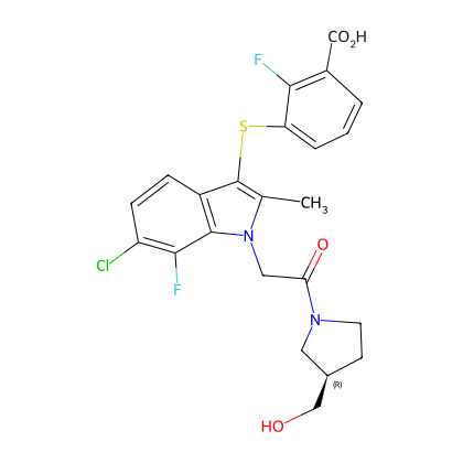 Cc1c(Sc2cccc(C(=O)O)c2F)c2ccc(Cl)c(F)c2n1CC(=O)N1CC[C@@H](CO)C1